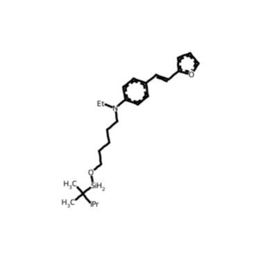 CCN(CCCCCO[SiH2]C(C)(C)C(C)C)c1ccc(C=Cc2ccco2)cc1